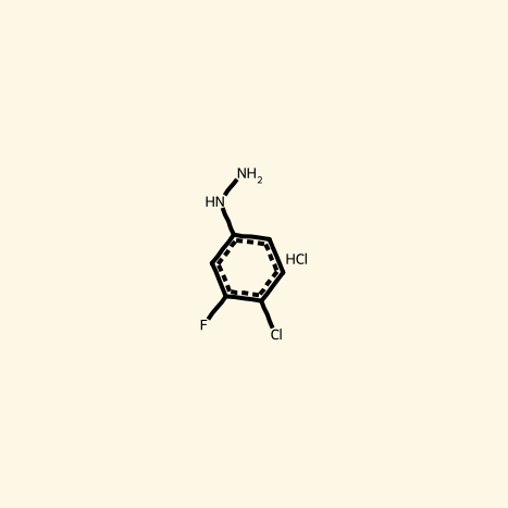 Cl.NNc1ccc(Cl)c(F)c1